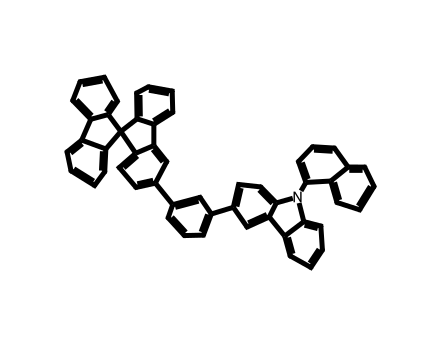 c1cc(-c2ccc3c(c2)-c2ccccc2C32c3ccccc3-c3ccccc32)cc(-c2ccc3c(c2)c2ccccc2n3-c2cccc3ccccc23)c1